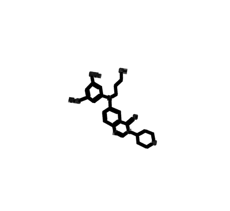 COc1cc(OC)cc(N(CCCO)c2ccc3ncn(C4CCOCC4)c(=O)c3c2)c1